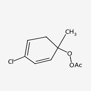 CC(=O)OOC1(C)C=CC(Cl)=CC1